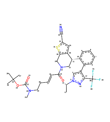 CCn1cc(-c2ccccc2[C@@H]2CN(C(=O)/C=C/CCN(C)C(=O)OC(C)(C)C)Cc3sc(C#N)cc32)c(C(F)(F)F)n1